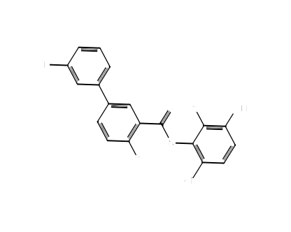 O=C(Nc1c(Cl)ccc(O)c1F)c1cc(-c2cccc(F)c2)ccc1F